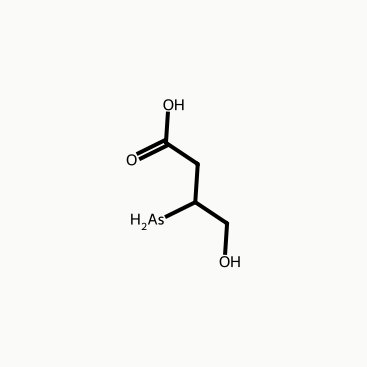 O=C(O)CC([AsH2])CO